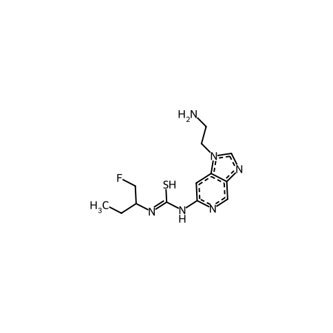 CCC(CF)N=C(S)Nc1cc2c(cn1)ncn2CCN